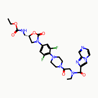 CCOC(=O)NC[C@H]1CN(c2cc(F)c(N3CCN(C(=O)CN(CC)C(=O)c4cn5ccncc5n4)CC3)c(F)c2)C(=O)O1